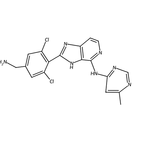 Cc1cc(Nc2nccc3nc(-c4c(Cl)cc(CN)cc4Cl)[nH]c23)ncn1